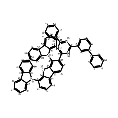 c1ccc(-c2cccc(-c3nc(-c4ccccc4)nc(-c4ccc5c(oc6c(-n7c8ccccc8c8ccccc87)cccc65)c4-n4c5ccccc5c5ccccc54)n3)c2)cc1